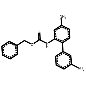 Nc1cccc(-c2ccc(N)cc2NC(=O)OCc2ccccc2)c1